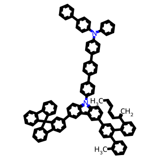 C=C(/C=C\C=C/C)c1ccccc1-c1cc(-c2ccc3c(c2)c2cc(-c4ccc5c(c4)C4(c6ccccc6-c6ccccc64)c4ccccc4-5)ccc2n3-c2ccc(-c3ccc(-c4ccc(N(c5ccccc5)c5ccc(-c6ccccc6)cc5)cc4)cc3)cc2)ccc1-c1ccccc1C